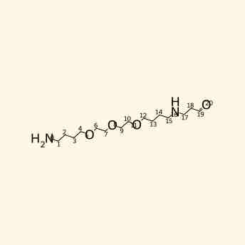 NCCCCOCCOCCOCCCCNCCC=O